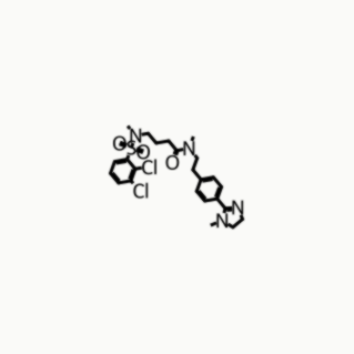 CN(CCc1ccc(C2=NCCN2C)cc1)C(=O)CCCN(C)S(=O)(=O)c1cccc(Cl)c1Cl